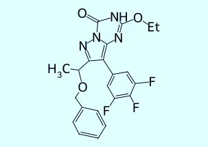 CCOc1nc2c(-c3cc(F)c(F)c(F)c3)c(C(C)OCc3ccccc3)nn2c(=O)[nH]1